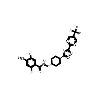 O=C(NC[C@H]1CC[C@H](c2nc(-c3ncc(C(F)(F)F)cn3)no2)CC1)c1cc(F)c(O)cc1F